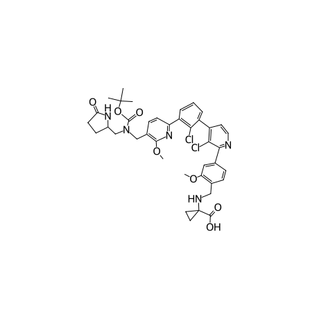 COc1cc(-c2nccc(-c3cccc(-c4ccc(CN(CC5CCC(=O)N5)C(=O)OC(C)(C)C)c(OC)n4)c3Cl)c2Cl)ccc1CNC1(C(=O)O)CC1